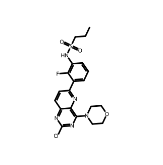 CCCS(=O)(=O)Nc1cccc(-c2ccc3nc(Cl)nc(N4CCOCC4)c3n2)c1F